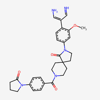 COc1cc(N2CCC3(CCN(C(=O)c4ccc(N5CCCC5=O)cc4)CC3)C2=O)ccc1/C(C=N)=C/N